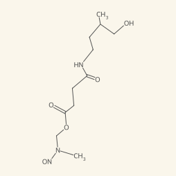 CC(CO)CCNC(=O)CCC(=O)OCN(C)N=O